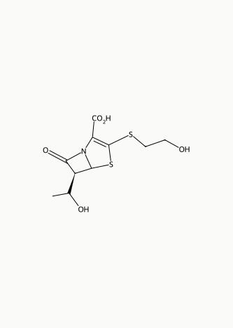 CC(O)[C@H]1C(=O)N2C(C(=O)O)=C(SCCO)SC12